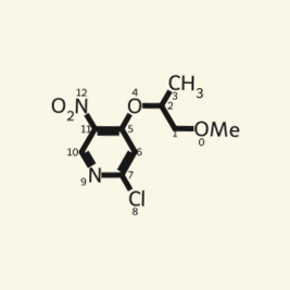 COCC(C)Oc1cc(Cl)ncc1[N+](=O)[O-]